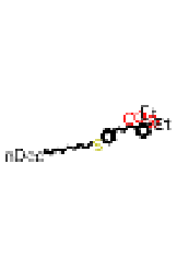 CCCCCCCCCCCCCCCCCCCSc1ccc(C=CC(=O)c2cccc(OCC)c2OCC)cc1